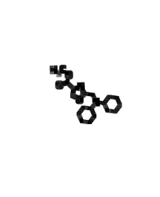 COC(=O)c1coc(CN(C2CCCCC2)C2CCCCC2)n1